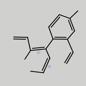 C=C/C(C)=C(/C=C\C)c1ccc(C)cc1C=C